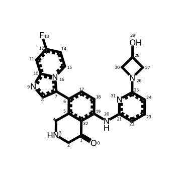 O=C1CNCc2c(-c3cnc4cc(F)ccn34)ccc(Nc3cccc(N4CC(O)C4)n3)c21